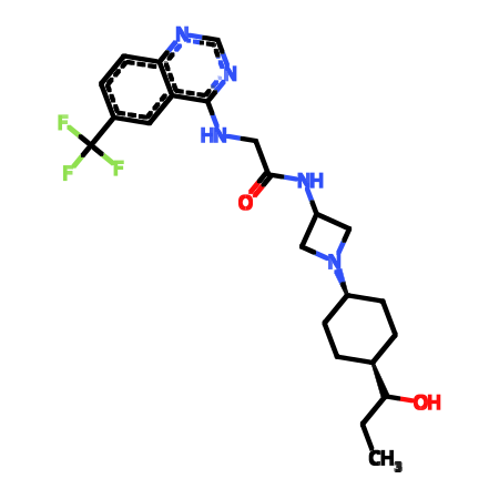 CCC(O)[C@H]1CC[C@@H](N2CC(NC(=O)CNc3ncnc4ccc(C(F)(F)F)cc34)C2)CC1